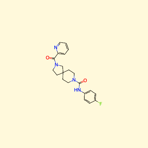 O=C(Nc1ccc(F)cc1)N1CCC2(CC1)CCN(C(=O)c1ccccn1)C2